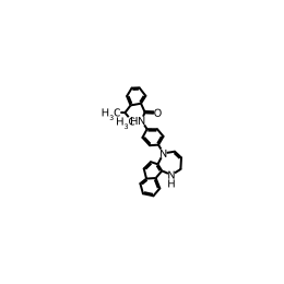 CC(C)c1ccccc1C(=O)Nc1ccc(N2C=CCNc3c2ccc2ccccc32)cc1